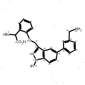 CCCCC(C(=O)OCC)c1ccccc1OCc1nn(C(C)C)c2ccc(-c3cccc(CN)c3)cc12